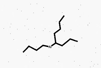 CCC[CH2][Al][CH](CCC)CCCC